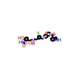 O=C(c1cccc2[nH]ccc12)N1CCOC2(CCN(Cc3cc(F)cc(CCNCC(O)c4ccc(O)c5[nH]c(=O)sc45)c3)CC2)C1